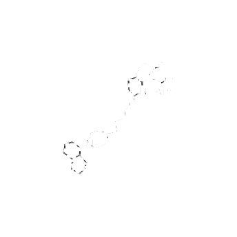 CCCC(=O)N1C(=O)CCc2ccc(OCCCCN3CCN(c4cccc5ccccc45)CC3)nc21